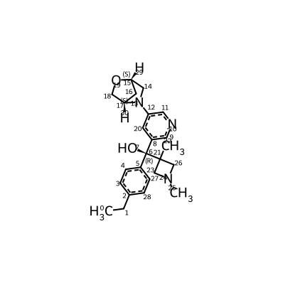 CCc1ccc([C@](O)(c2cncc(N3C[C@@H]4C[C@H]3CO4)c2)C2(C)CN(C)C2)cc1